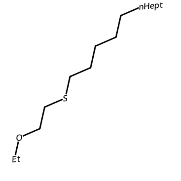 [CH2]COCCSCCCCCCCCCCCC